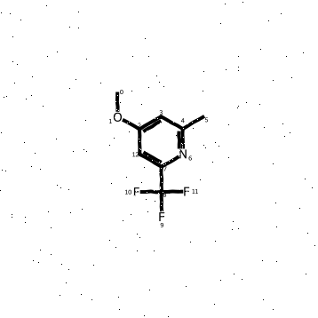 COc1cc(C)nc(C(F)(F)F)c1